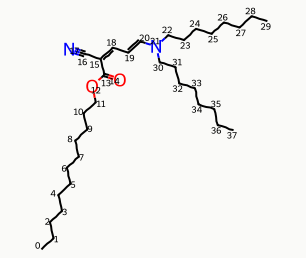 CCCCCCCCCCCCOC(=O)/C(C#N)=C\C=C\N(CCCCCCCC)CCCCCCCC